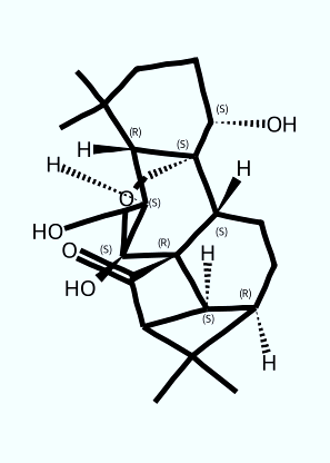 CC1(C)CC[C@H](O)[C@]23CO[C@](O)([C@@H](O)[C@H]12)[C@@]12C(=O)C4[C@@H]1[C@@H](CC[C@@H]32)C4(C)C